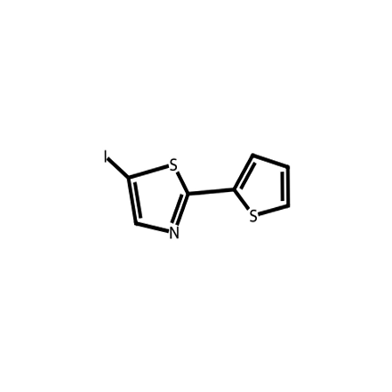 Ic1cnc(-c2cccs2)s1